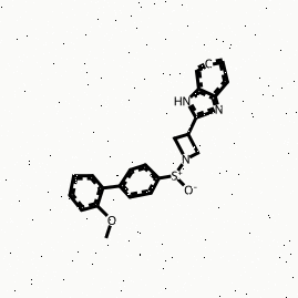 COc1ccccc1-c1ccc([S+]([O-])N2CC(c3nc4ccccc4[nH]3)C2)cc1